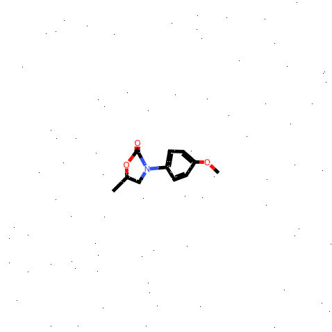 COc1ccc(N2CC(C)OC2=O)cc1